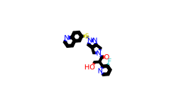 O=C(C(CO)c1ncccc1F)N1Cc2cn(Sc3ccc4ncccc4c3)nc2C1